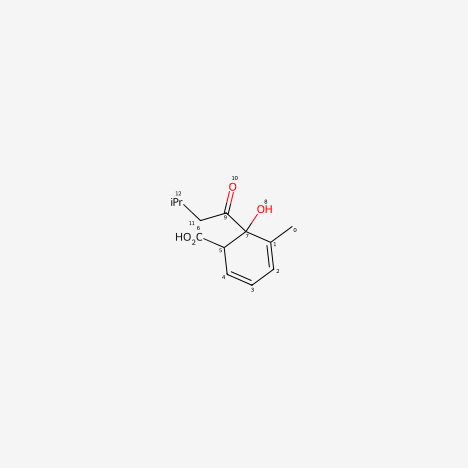 CC1=CC=CC(C(=O)O)C1(O)C(=O)CC(C)C